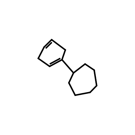 C1=CCC(C2CCCCCC2)=CC1